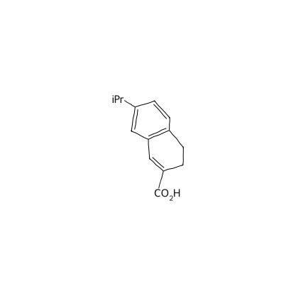 CC(C)c1ccc2c(c1)C=C(C(=O)O)CC2